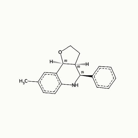 Cc1ccc2c(c1)[C@H]1OCC[C@H]1[C@@H](c1ccccc1)N2